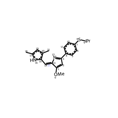 COC1=CC(c2ccc(SC(C)C)cc2)=N/C1=C\c1[nH]c(C)cc1C